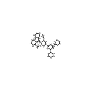 N#Cc1cc(-c2nc(-c3ccccc3)nc(-c3ccccc3)n2)cc(C#N)c1-n1c2ccccc2c2ccccc21